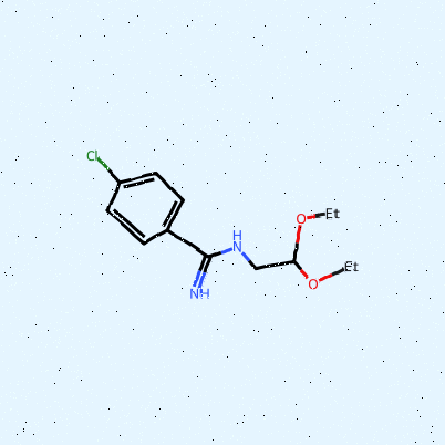 CCOC(CNC(=N)c1ccc(Cl)cc1)OCC